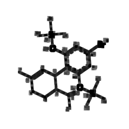 C=C(C)C1CCC(C)=CC1c1c(O[Si](C)(C)C)cc(Br)cc1O[Si](C)(C)C